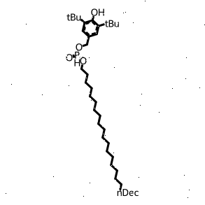 CCCCCCCCCCCCCCCCCCCCCCCCCCCCO[PH](=O)OCc1cc(C(C)(C)C)c(O)c(C(C)(C)C)c1